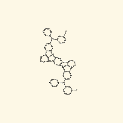 Fc1cccc(N(c2ccccc2)c2ccc3c4cccc5c6cc7c(cc6n(c3c2)c45)c2cccc3c4ccc(N(c5ccccc5)c5cccc(F)c5)cc4n7c32)c1